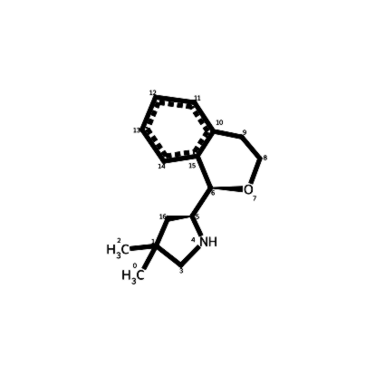 CC1(C)CN[C@H]([C@@H]2OCCc3ccccc32)C1